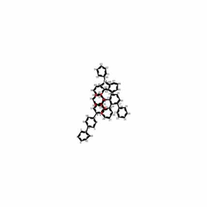 c1ccc(-c2ccc(-c3ccc(N(c4cccc(-c5ccccc5)c4-c4ccccc4-c4ccccc4)c4cccc5c4c4ccccc4n5-c4ccccc4)cc3)cc2)cc1